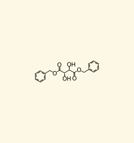 O=C(OCc1ccccc1)[C@H](O)[C@@H](O)C(=O)OCc1ccccc1